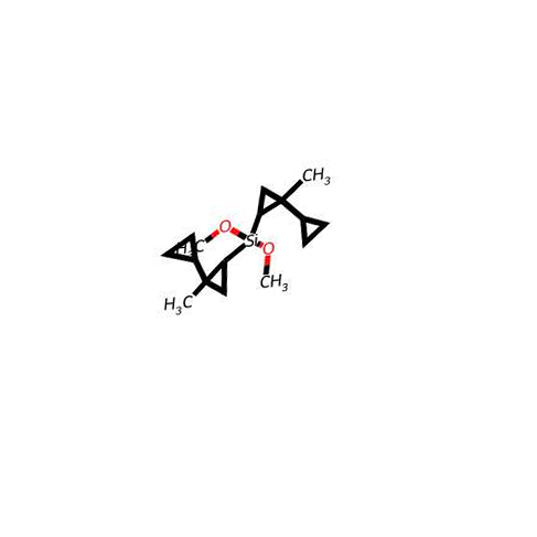 CO[Si](OC)(C1CC1(C)C1CC1)C1CC1(C)C1CC1